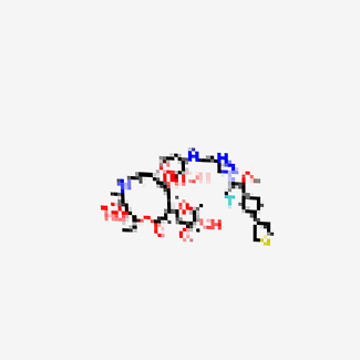 CC[C@H]1OC(=O)[C@H](C)[C@@H](C2C[C@@](C)(OC)[C@@H](O)[C@H](C)O2)[C@H](C)[C@@H](O[C@@H]2O[C@H](C)C[C@H](N(C)CCc3cn([C@H](CF)[C@H](OC)c4ccc(C5=CCSCC5)cc4)nn3)[C@H]2O)[C@](C)(O)C[C@@H](C)CN(C)[C@H](C)[C@@H](O)[C@]1(C)O